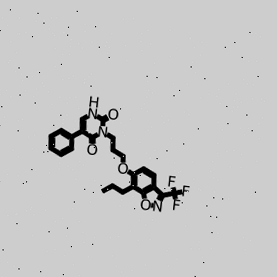 CCCc1c(OCCCn2c(=O)[nH]cc(-c3ccccc3)c2=O)ccc2c(C(F)(F)F)noc12